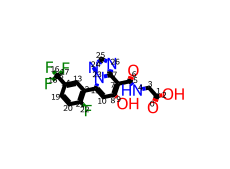 O=C(O)CNC(=O)c1c(O)cc(-c2cc(C(F)(F)F)ccc2F)n2ncnc12